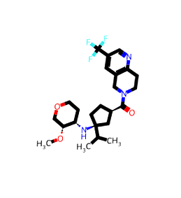 CO[C@@H]1COCC[C@@H]1N[C@@]1(C(C)C)CC[C@@H](C(=O)N2CCc3ncc(C(F)(F)F)cc3C2)C1